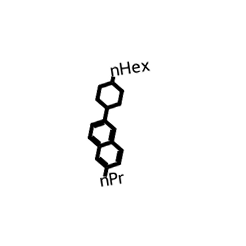 CCCCCCC1CCC(c2ccc3cc(CCC)ccc3c2)CC1